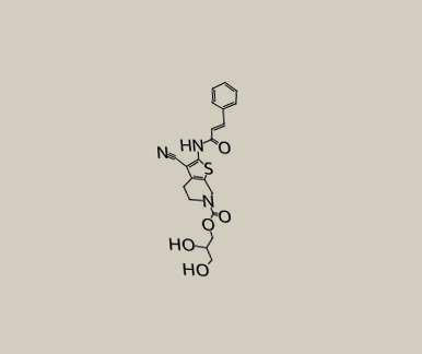 N#Cc1c(NC(=O)C=Cc2ccccc2)sc2c1CCN(C(=O)OCC(O)CO)C2